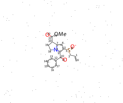 C=CC[S+]([O-])c1cc2n(c1C(=O)c1ccccc1)CCC2C(=O)OC